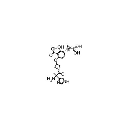 CC(N)(C(=O)N1CC(Oc2ccc([C@@H]3C[C@@H]3B(O)O)c(O)c2C(=O)O)C1)c1c[nH]cn1